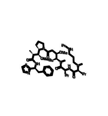 CC[C@H](C)[C@@H]([C@@H](CC(=O)N1CCC[C@H]1[C@H](OC)[C@@H](C)C(=O)N[C@@H](Cc1ccccc1)c1nccs1)OC)N(C)C(=O)[C@@H](NC(=O)[C@H](C(C)C)N(C)CCCNC(C)C)C(C)C